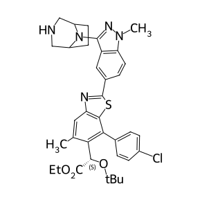 CCOC(=O)[C@@H](OC(C)(C)C)c1c(C)cc2nc(-c3ccc4c(c3)c(N3C5CCC3CNC5)nn4C)sc2c1-c1ccc(Cl)cc1